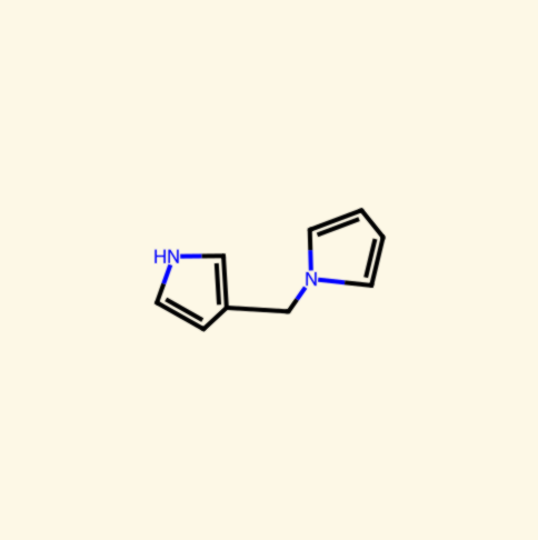 c1ccn(Cc2cc[nH]c2)c1